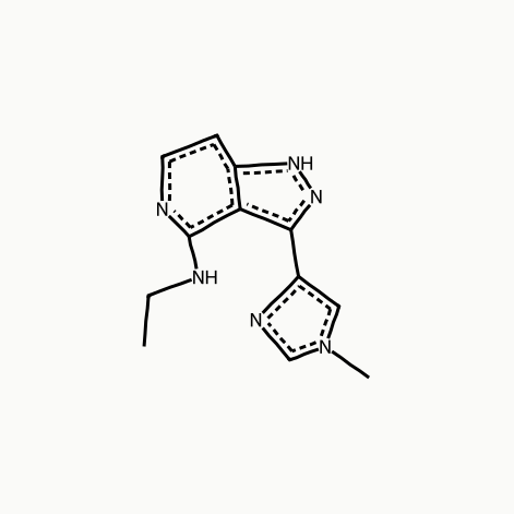 CCNc1nccc2[nH]nc(-c3cn(C)cn3)c12